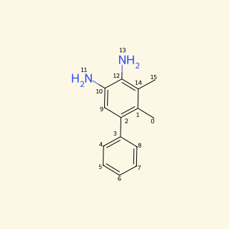 Cc1c(-c2ccccc2)cc(N)c(N)c1C